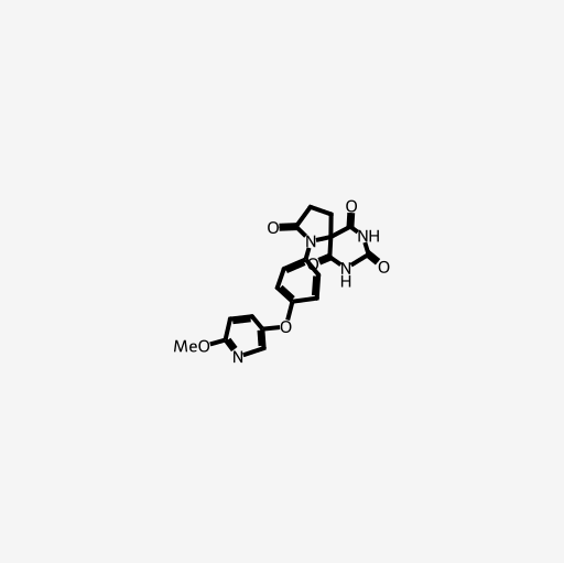 COc1ccc(Oc2ccc(N3C(=O)CCC34C(=O)NC(=O)NC4=O)cc2)cn1